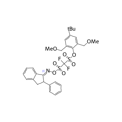 COCc1cc(C(C)(C)C)cc(COC)c1OS(=O)(=O)C(F)(F)S(=O)(=O)O/N=C1/c2ccccc2CC1c1ccccc1